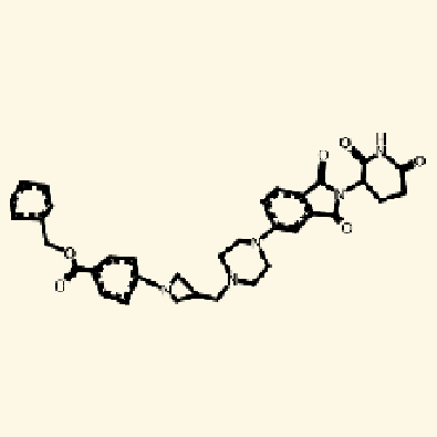 O=C1CCC(N2C(=O)c3ccc(N4CCN(CC5CN(c6ccc(C(=O)OCc7ccccc7)cc6)C5)CC4)cc3C2=O)C(=O)N1